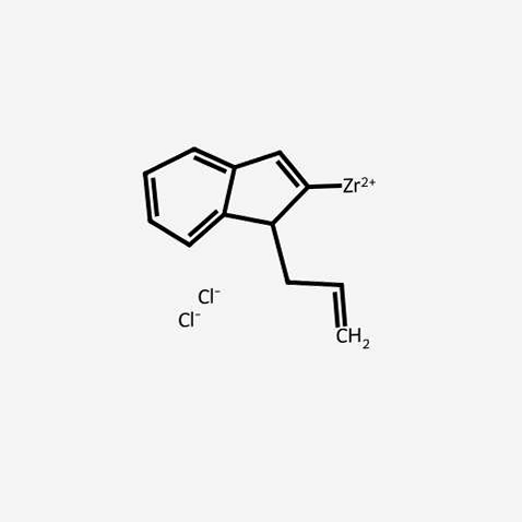 C=CCC1[C]([Zr+2])=Cc2ccccc21.[Cl-].[Cl-]